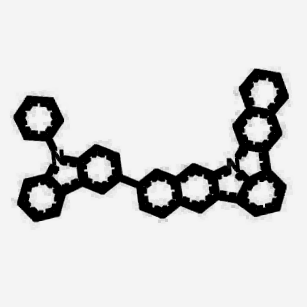 c1ccc(-n2c3ccccc3c3cc(-c4ccc5cc6c7cccc8c9cc%10ccccc%10cc9n(c6cc5c4)c87)ccc32)cc1